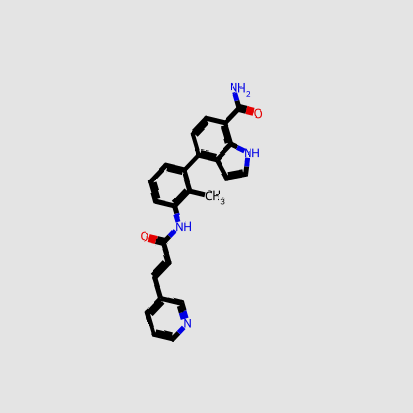 Cc1c(NC(=O)C=Cc2cccnc2)cccc1-c1ccc(C(N)=O)c2[nH]ccc12